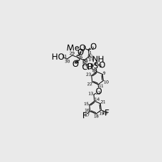 COC(=O)[C@H](NS(=O)(=O)c1ccc(OCc2cc(F)cc(F)c2)cc1)[C@H](C)S(=O)(=O)CCO